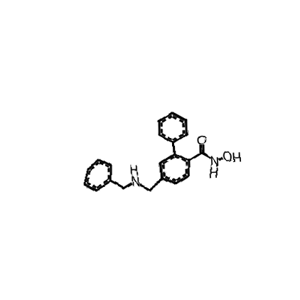 O=C(NO)c1ccc(CNCc2ccccc2)cc1-c1ccccc1